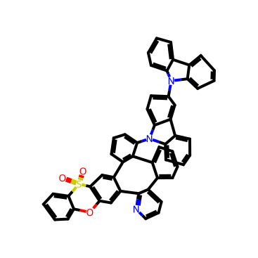 O=S1(=O)c2ccccc2Oc2cc3c(cc21)-c1cccc(-n2c4ccccc4c4cc(-n5c6ccccc6c6ccccc65)ccc42)c1-c1ccccc1-c1cccnc1-3